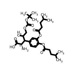 CC(C)CCC(=O)Oc1ccc(C(C(C)COC(=O)OC(C)(C)C)[C@H](N)C(=O)O)cc1OC(=O)CCC(C)C